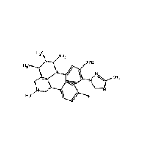 COc1cc(N2C3=C(CN(C)CC3c3ccc(F)cc3)C(N)N(C)C2N)ccc1-n1cnc(C)n1